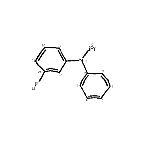 CC(C)N(c1ccccc1)c1cccc(F)c1